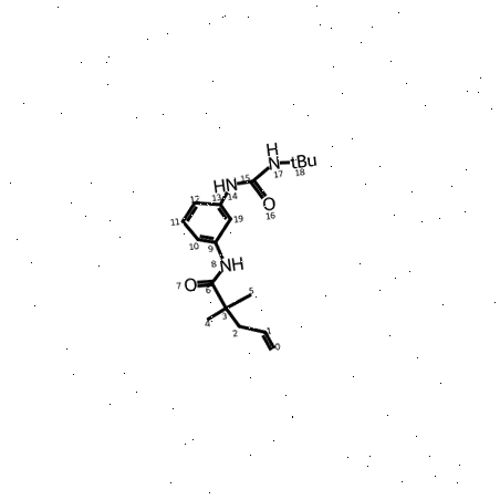 C=CCC(C)(C)C(=O)Nc1cccc(NC(=O)NC(C)(C)C)c1